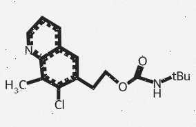 Cc1c(Cl)c(CCOC(=O)NC(C)(C)C)cc2cccnc12